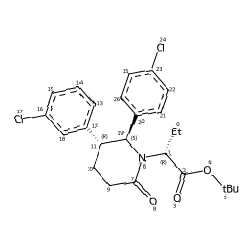 CC[C@H](C(=O)OC(C)(C)C)N1C(=O)CC[C@H](c2cccc(Cl)c2)[C@H]1c1ccc(Cl)cc1